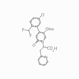 COc1cn(C(Cc2ccccn2)C(=O)O)c(=O)cc1-c1cc(Cl)ccc1C(F)F